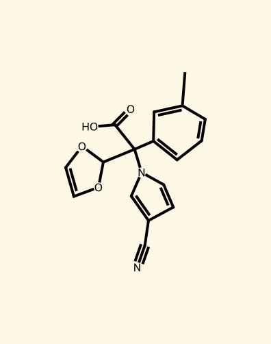 Cc1cccc(C(C(=O)O)(C2OC=CO2)n2ccc(C#N)c2)c1